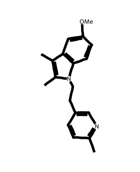 COc1ccc2c(c1)c(C)c(C)n2CCc1ccc(C)nc1